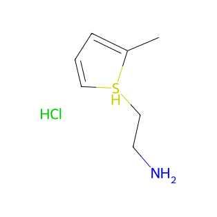 CC1=CC=C[SH]1CCN.Cl